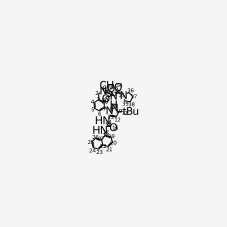 CN(Cc1cccc(-n2nc(C(C)(C)C)cc2NC(=O)Nc2cccc3ccccc23)c1)S(=O)(=O)NC(=O)N1CCCC1